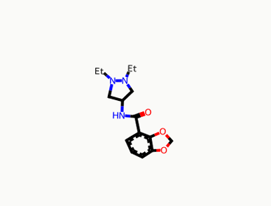 CCN1CC(NC(=O)c2cccc3c2OCO3)CN1CC